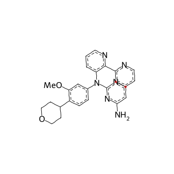 COc1cc(N(c2nccc(N)n2)c2cccnc2-c2ccccn2)ccc1C1CCOCC1